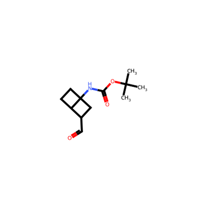 CC(C)(C)OC(=O)NC12CCC1C(C=O)C2